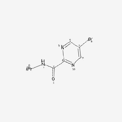 CC(C)NC(=O)c1ncc(Br)cn1